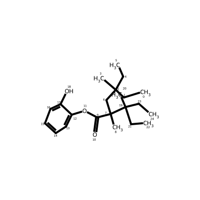 CCC(C)(CC)CC(C)(C(=O)Oc1ccccc1O)C(C)(CC)CC